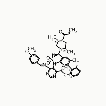 C=CC(=O)N1C[C@H](C)N(C2=NS(=O)(=O)N(c3c(NCc4ccc(OC)cc4)ncnc3C(C)C)c3nc(-c4ccccc4F)c(Cl)cc32)C[C@H]1C